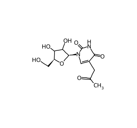 CC(=O)Cc1cn([C@H]2O[C@@H](CO)C(O)C2O)c(=O)[nH]c1=O